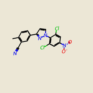 Cc1ccc(-c2ccn(-c3c(Cl)cc([N+](=O)[O-])cc3Cl)n2)cc1C#N